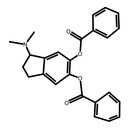 CN(C)C1CCc2cc(OC(=O)c3ccccc3)c(OC(=O)c3ccccc3)cc21